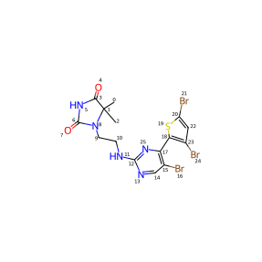 CC1(C)C(=O)NC(=O)N1CCNc1ncc(Br)c(-c2sc(Br)cc2Br)n1